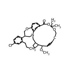 CCCc1cc(Cl)ccc1C1COc2ccc3cc2N(C1)CC1CCC1C(OC)C1=CC(CCOC(C)(C)OC3=O)C1